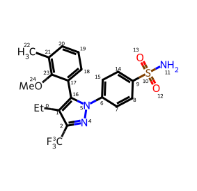 CCc1c(C(F)(F)F)nn(-c2ccc(S(N)(=O)=O)cc2)c1-c1cccc(C)c1OC